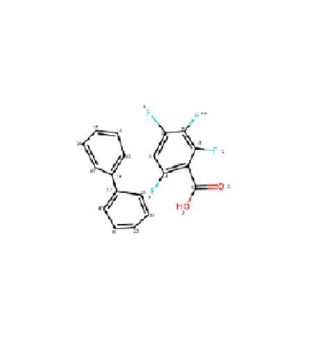 O=C(O)c1c(F)cc(F)c(F)c1F.c1ccc(-c2ccccc2)cc1